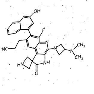 CN(C)C1CN(c2nc3c(F)c(-c4cc(O)cc5ccccc45)c(CCC#N)cc3c3c2NC(=O)C32CNC2)C1